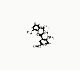 CCOc1cc(C(=O)NC(C)c2cccc(C)c2)c([N+](=O)[O-])cn1